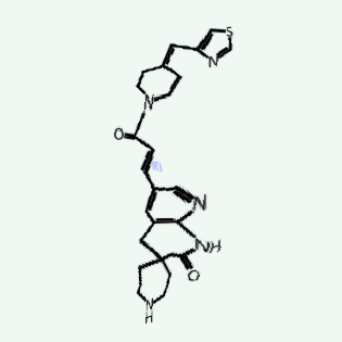 O=C(/C=C/c1cnc2c(c1)CC1(CCNCC1)C(=O)N2)N1CCC(=Cc2cscn2)CC1